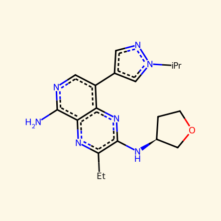 CCc1nc2c(N)ncc(-c3cnn(C(C)C)c3)c2nc1N[C@H]1CCOC1